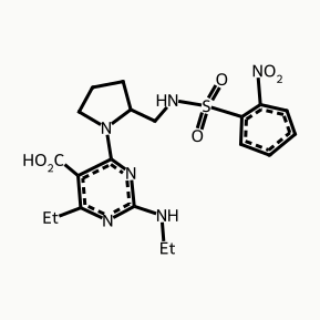 CCNc1nc(CC)c(C(=O)O)c(N2CCCC2CNS(=O)(=O)c2ccccc2[N+](=O)[O-])n1